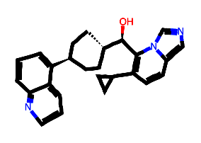 O[C@@H](c1c(C2CC2)ccc2cncn12)[C@H]1CC[C@H](c2cccc3ncccc32)CC1